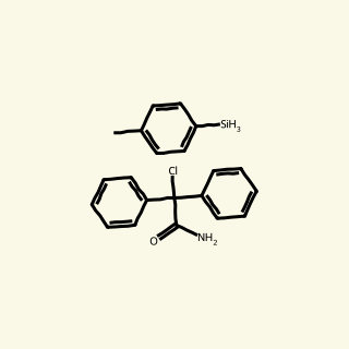 Cc1ccc([SiH3])cc1.NC(=O)C(Cl)(c1ccccc1)c1ccccc1